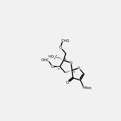 CCCCCCCCCC1=CO[C@@]2(C[C@@H](OC=O)[C@](COC=O)(C(=O)O)O2)C1=O